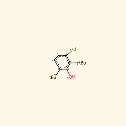 CC(C)(C)c1ccc(Cl)c(C(C)(C)C)c1O